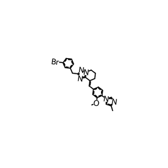 COc1cc(C=C2CCCn3nc(Cc4cccc(Br)c4)nc32)ccc1-n1cnc(C)c1